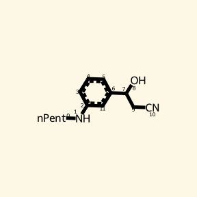 CCCCCNc1cccc(C(O)CC#N)c1